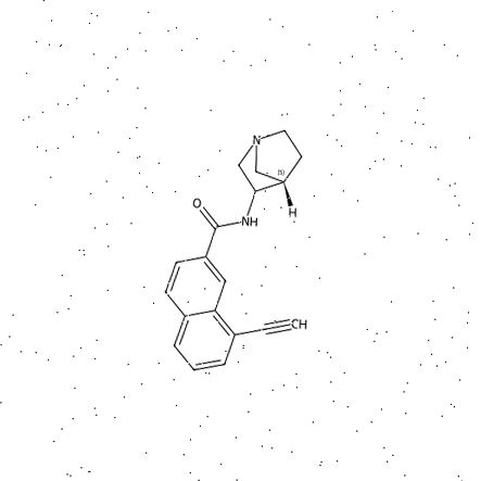 C#Cc1cccc2ccc(C(=O)NC3CN4CC[C@H]3C4)cc12